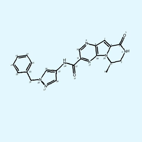 C[C@@H]1CNC(=O)c2cc3ncc(C(=O)Nc4cnn(Cc5ccccc5)c4)nc3n21